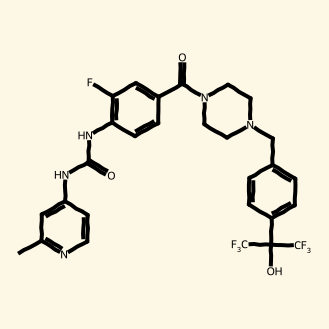 Cc1cc(NC(=O)Nc2ccc(C(=O)N3CCN(Cc4ccc(C(O)(C(F)(F)F)C(F)(F)F)cc4)CC3)cc2F)ccn1